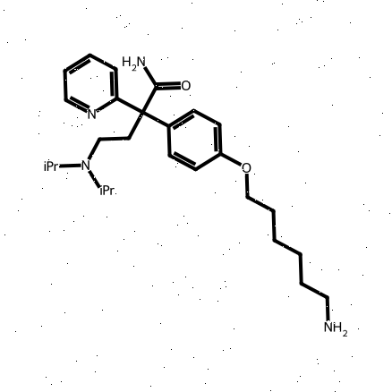 CC(C)N(CCC(C(N)=O)(c1ccc(OCCCCCCN)cc1)c1ccccn1)C(C)C